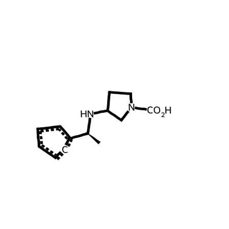 C[C@H](NC1CCN(C(=O)O)C1)c1ccccc1